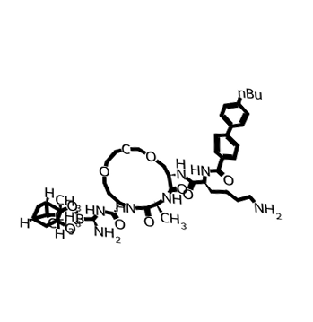 CCCCc1ccc(-c2ccc(C(=O)N[C@@H](CCCCN)C(=O)N[C@H]3COCCCCOCC[C@@H](C(=O)N[C@@H](N)B4O[C@@H]5C[C@@H]6C[C@@H](C6(C)C)[C@]5(C)O4)NC(=O)[C@H](C)NC3=O)cc2)cc1